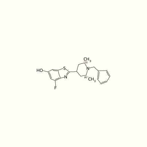 C[C@@H]1CC(c2nc3c(F)cc(O)cc3s2)C[C@H](C)N1Cc1ccccc1